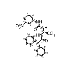 O=C(Nc1cccc([N+](=O)[O-])c1)NC(NC(=O)C(c1ccccc1)c1ccccc1)C(Cl)(Cl)Cl